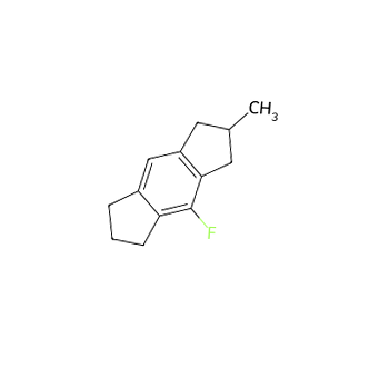 CC1Cc2cc3c(c(F)c2C1)CCC3